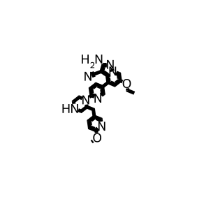 CCOc1cc(-c2ccc(N3CCNCC3Cc3ccc(OC)nc3)nc2)c2c(C#N)c(N)nn2c1